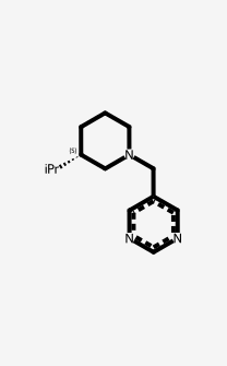 CC(C)[C@@H]1CCCN(Cc2cncnc2)C1